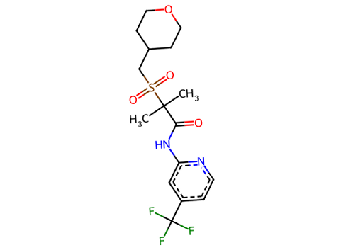 CC(C)(C(=O)Nc1cc(C(F)(F)F)ccn1)S(=O)(=O)CC1CCOCC1